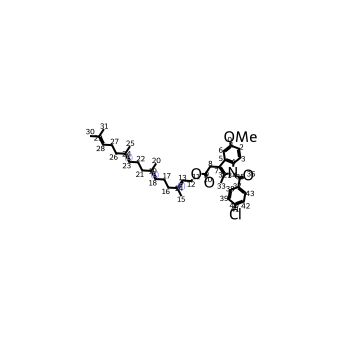 COc1ccc2c(c1)c(CC(=O)OC/C=C(\C)CC/C=C(\C)CC/C=C(\C)CCC=C(C)C)c(C)n2C(=O)c1ccc(Cl)cc1